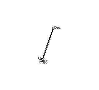 CCCCCCCCCCCCCCCCCCCCCCCCCCCCCCCCCC(Cl)[Si](OCC)(OCC)OCC